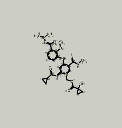 CNC(=O)c1cn(COC(=O)C2(O)CC2)/c(=N/C(=O)C2CC2)cc1Nc1cccc(/C(N)=N/N(C)N)c1OC